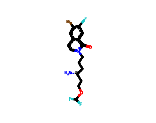 N[C@H](CCCn1ccc2cc(Br)c(F)cc2c1=O)CCOC(F)F